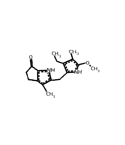 CCc1c(Cc2[nH]c3c(c2C)CCC3=O)[nH]c(OC)c1C